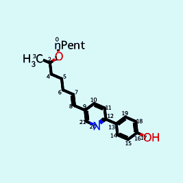 CCCCCOC(C)CCCC=Cc1ccc(-c2ccc(O)cc2)nc1